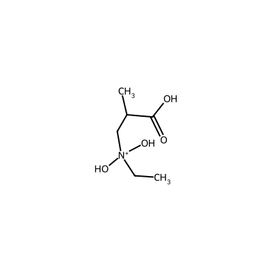 CC[N+](O)(O)CC(C)C(=O)O